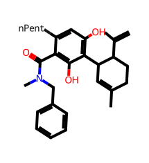 C=C(C)C1CCC(C)=CC1c1c(O)cc(CCCCC)c(C(=O)N(C)Cc2ccccc2)c1O